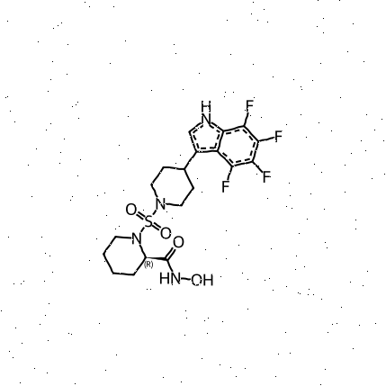 O=C(NO)[C@H]1CCCCN1S(=O)(=O)N1CCC(c2c[nH]c3c(F)c(F)c(F)c(F)c23)CC1